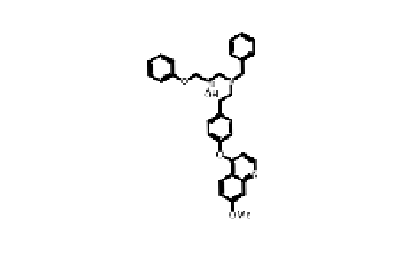 COc1ccc2c(Oc3ccc(CCN(Cc4ccccc4)C[C@H](O)COc4ccccc4)cc3)ccnc2c1